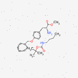 CCCCNC(=O)OC(C)(C)C.COC(=O)[C@@H](N)Cc1ccc(OCc2ccccc2)cc1